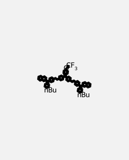 CCCCc1ccc(N(c2ccc(/C=C/c3ccc(N(c4ccc(CCc5ccc(N(c6ccc(CCCC)cc6)c6ccc7ccccc7c6)cc5)cc4)c4ccc(OCC(F)(F)F)cc4)cc3)cc2)c2ccc3ccccc3c2)cc1